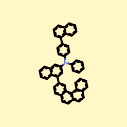 c1ccc(N(c2ccc(-c3cccc4ccccc34)cc2)c2cc(-c3ccc4ccc5ccc6ccccc6c5c4c3)c3ccccc3c2)cc1